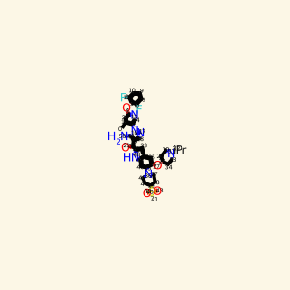 Cc1cc(Oc2c(F)cccc2F)ncc1-n1ncc(C(=O)c2cc3cc(OC4CCN(C(C)C)CC4)c(N4CCC(S(C)(=O)=O)CC4)cc3[nH]2)c1N